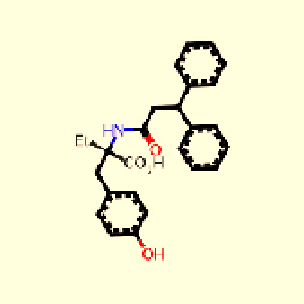 CC[C@@](Cc1ccc(O)cc1)(NC(=O)CC(c1ccccc1)c1ccccc1)C(=O)O